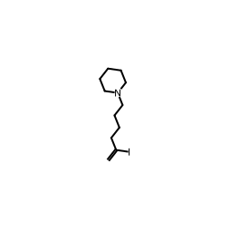 C=C(I)CCCCN1CCCCC1